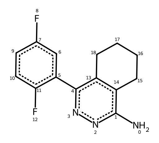 Nc1nnc(-c2cc(F)ccc2F)c2c1CCCC2